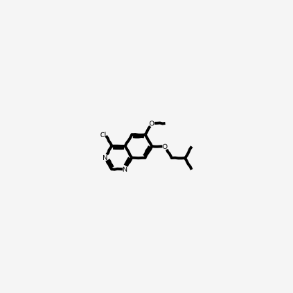 COc1cc2c(Cl)ncnc2cc1OCC(C)C